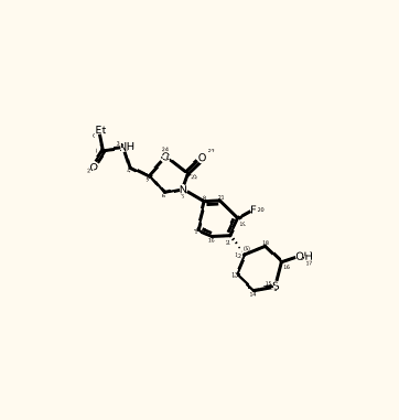 CCC(=O)NCC1CN(c2ccc([C@H]3CCSC(O)C3)c(F)c2)C(=O)O1